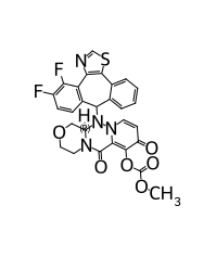 COC(=O)Oc1c2n(ccc1=O)N(C1c3ccccc3-c3scnc3-c3c1ccc(F)c3F)[C@@H]1COCCN1C2=O